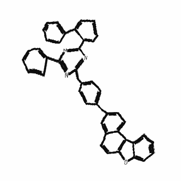 c1ccc(-c2nc(-c3ccc(-c4ccc5c(ccc6oc7ccccc7c65)c4)cc3)nc(-c3ccccc3-c3ccccc3)n2)cc1